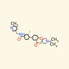 Cc1ccc(CNC(=O)c2ccc(-c3ccc4c(c3)C(=O)CC3(CCN(C(C)C)CC3)O4)c(F)c2)cn1